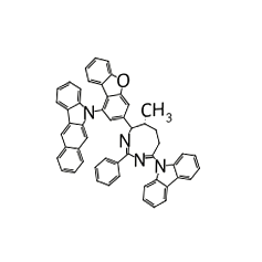 C[C@@H]1CC/C(n2c3ccccc3c3ccccc32)=N\C(c2ccccc2)=N/C1c1cc(-n2c3ccccc3c3cc4ccccc4cc32)c2c(c1)oc1ccccc12